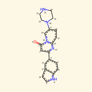 O=c1cc(-c2ccc3[nH]ccc3c2)nc2ccc(N3CCNCC3)cn12